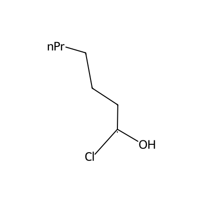 CCCCCC[C](O)Cl